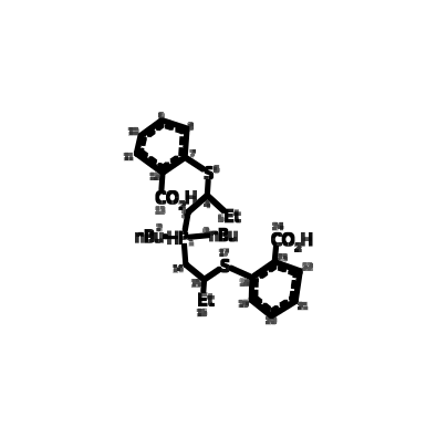 CCCC[PH](CCCC)(CC(CC)Sc1ccccc1C(=O)O)CC(CC)Sc1ccccc1C(=O)O